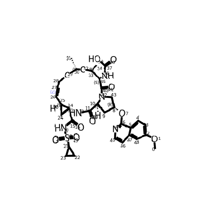 COc1ccc2c(O[C@@H]3C[C@H]4C(=O)N[C@]5(C(=O)NS(=O)(=O)C6CC6)C[C@H]5/C=C\CC[C@H](C)C[C@@H](C)[C@H](NC(=O)O)C(=O)N4C3)nccc2c1